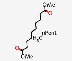 CCCCCC.COC(=O)CCCCCCCCC(=O)OC